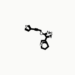 C(#Cc1ccsc1)COc1nsnc1C1CN2CCCC1C2